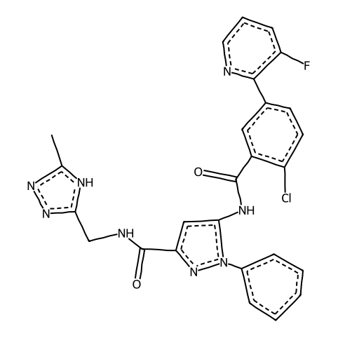 Cc1nnc(CNC(=O)c2cc(NC(=O)c3cc(-c4ncccc4F)ccc3Cl)n(-c3ccccc3)n2)[nH]1